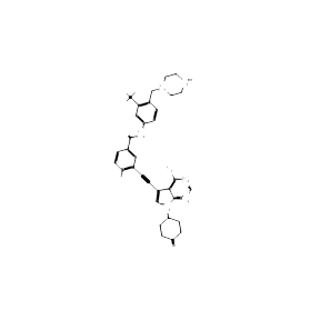 Cc1ccc(C(=O)Nc2ccc(CN3CCN(C)CC3)c(C(F)(F)F)c2)cc1C#Cc1cn(C2CCC(=O)CC2)c2ncnc(N)c12